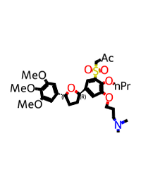 CCCOc1c(OCCCN(C)C)cc([C@H]2CC[C@H](c3cc(OC)c(OC)c(OC)c3)O2)cc1S(=O)(=O)CC(C)=O